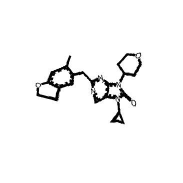 Cc1cc2c(cc1Cc1ncc3c(n1)n(C1CCOCC1)c(=O)n3C1CC1)CCO2